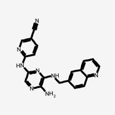 N#Cc1ccc(Nc2cnc(N)c(NCc3ccc4ncccc4c3)n2)nc1